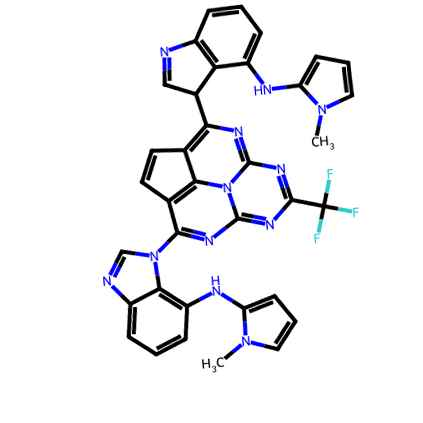 Cn1cccc1Nc1cccc2c1C(c1nc3nc(C(F)(F)F)nc4nc(-n5cnc6cccc(Nc7cccn7C)c65)c5ccc1c5n34)C=N2